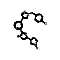 CC(=O)N1CCC(c2c[nH]c(-c3cc(-c4cnn(Cc5ccc(Cl)cc5)c4)ccn3)n2)C1